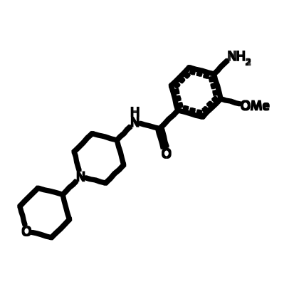 COc1cc(C(=O)NC2CCN(C3CCOCC3)CC2)ccc1N